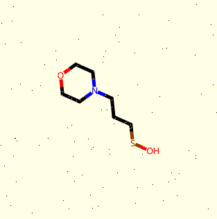 OSCCCN1CCOCC1